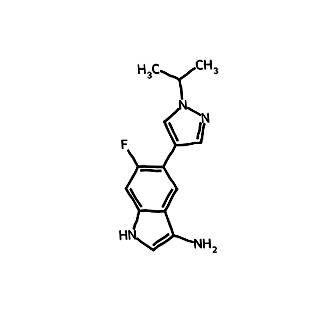 CC(C)n1cc(-c2cc3c(N)c[nH]c3cc2F)cn1